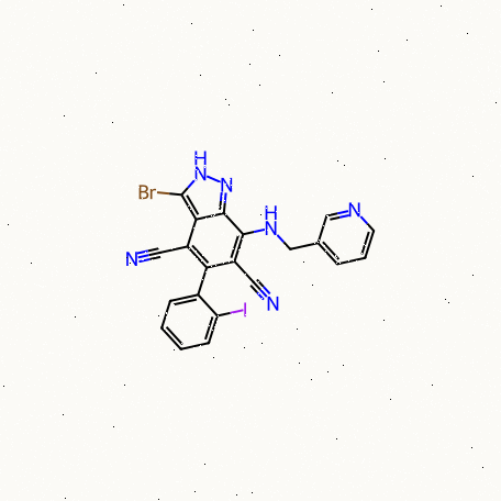 N#Cc1c(-c2ccccc2I)c(C#N)c2c(Br)[nH]nc2c1NCc1cccnc1